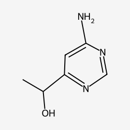 CC(O)c1cc(N)ncn1